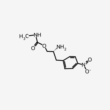 CNC(=O)OC[C@H](N)Cc1ccc([N+](=O)[O-])cc1